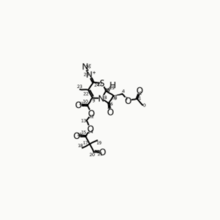 CC(=O)OC[C@H]1C(=O)N2C(C(=O)OCOC(=O)C(C)(C)C=O)=C(C)C(=[N+]=[N-])S[C@@H]12